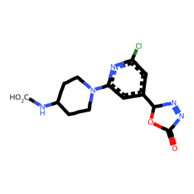 O=C(O)NC1CCN(c2cc(C3N=NC(=O)O3)cc(Cl)n2)CC1